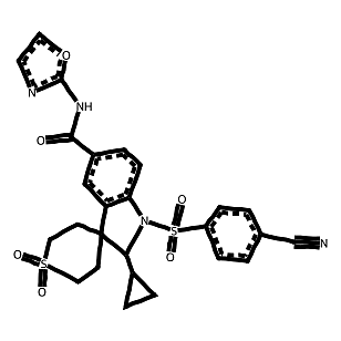 N#Cc1ccc(S(=O)(=O)N2c3ccc(C(=O)Nc4ncco4)cc3C3(CCS(=O)(=O)CC3)C2C2CC2)cc1